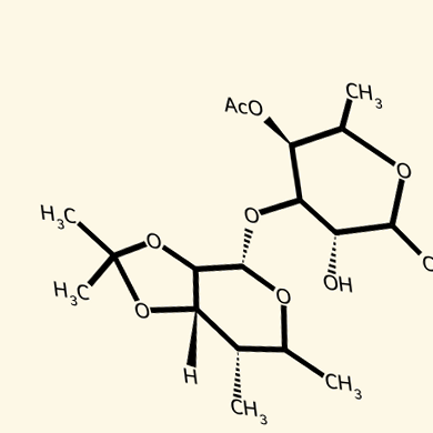 CC(=O)O[C@H]1C(C)OC(O)[C@H](O)C1O[C@@H]1OC(C)[C@H](C)[C@@H]2OC(C)(C)OC12